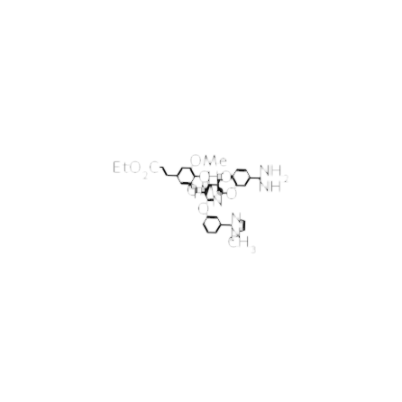 CCOC(=O)C=Cc1cc(OC)c(Oc2c(F)c(Oc3cccc(-c4nccn4C)c3)nc(Oc3cc(C(=N)N)ccc3O)c2F)c(OC)c1